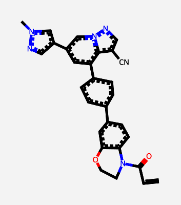 C=CC(=O)N1CCOc2cc(-c3ccc(-c4cc(-c5cnn(C)c5)cn5ncc(C#N)c45)cc3)ccc21